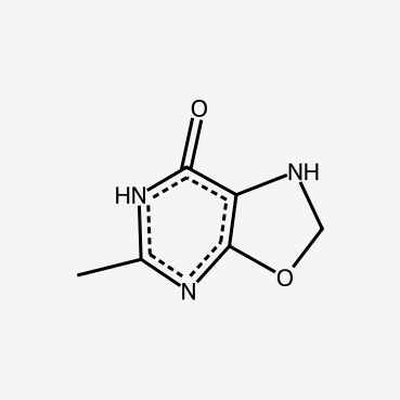 Cc1nc2c(c(=O)[nH]1)NCO2